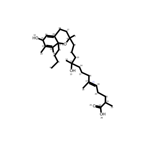 CCCCC12OC(C)(CCCC(C)(O)CCC/C(C)=C/CCC(C)C(=O)O)CCC1=CC(O)C(C)=C2C